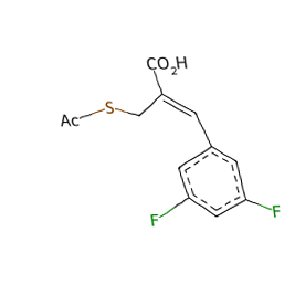 CC(=O)SC/C(=C\c1cc(F)cc(F)c1)C(=O)O